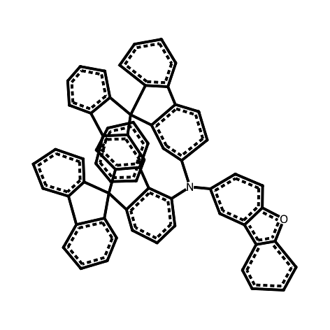 c1ccc2c(c1)-c1ccccc1C21c2ccccc2-c2ccc(N(c3ccc4oc5ccccc5c4c3)c3cccc4c3-c3ccccc3C43c4ccccc4-c4ccccc43)cc21